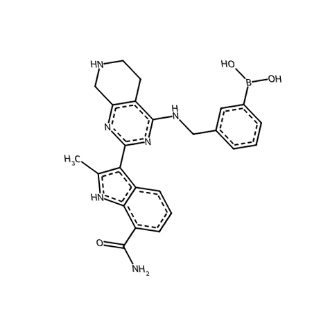 Cc1[nH]c2c(C(N)=O)cccc2c1-c1nc2c(c(NCc3cccc(B(O)O)c3)n1)CCNC2